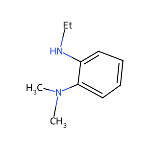 CCNc1ccccc1N(C)C